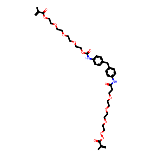 C=C(C)C(=O)OCCOCCOCCOCCOC(=O)Nc1ccc(Cc2ccc(NC(=O)CCOCCOCCOCCOOC(=O)C(=C)C)cc2)cc1